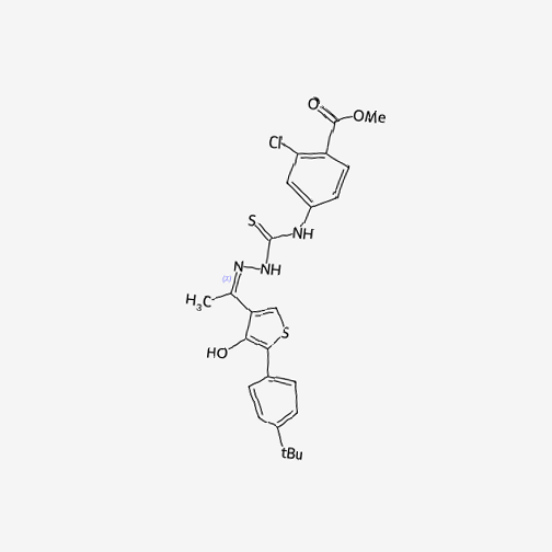 COC(=O)c1ccc(NC(=S)N/N=C(/C)c2csc(-c3ccc(C(C)(C)C)cc3)c2O)cc1Cl